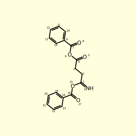 N=C(CCC(=O)OC(=O)c1ccccc1)OC(=O)c1ccccc1